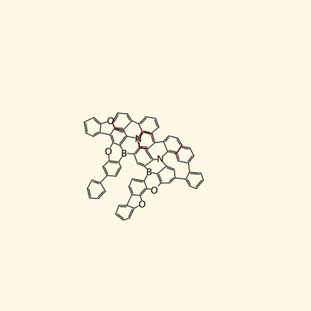 c1ccc(-c2ccc3c(c2)Oc2c4c(cc5oc6ccccc6c25)N(c2ccccc2-c2ccccc2)c2cc5c(cc2B34)B2c3ccc4c(oc6ccccc64)c3Oc3cc(-c4ccccc4-c4ccccc4)cc(c32)N5c2ccccc2-c2ccccc2)cc1